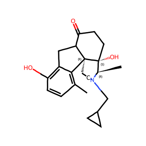 Cc1ccc(O)c2c1[C@]13CCN(CC4CC4)[C@H](C)[C@]1(O)CCC(=O)C3C2